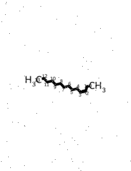 CC/[C]=C\CCCCCCCCCC